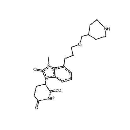 Cn1c(=O)n(C2CCC(=O)NC2=O)c2cccc(CCCOCC3CCNCC3)c21